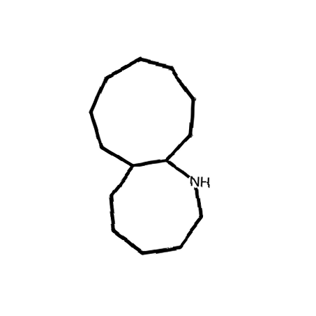 C1CCCC2CCCCCNC2CCC1